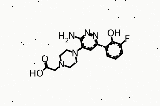 Nc1nnc(-c2cccc(F)c2O)cc1N1CCN(CC(=O)O)CC1